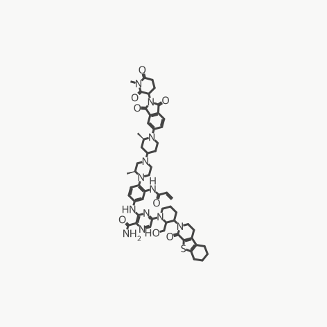 C=CC(=O)Nc1cc(Nc2nc(N3CCCC(N4CCc5c(sc6c5CCCC6)C4=O)C3CO)cnc2C(N)=O)ccc1N1CCN(C2CCN(c3ccc4c(c3)C(=O)N(C3CCC(=O)N(C)C3=O)C4=O)[C@H](C)C2)C[C@@H]1C